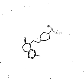 Cc1ccc2c(c1)N(CCN1CCC(N(C(=O)O)C(C)(C)C)CC1)C(=O)CO2